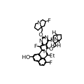 C=C(CC)c1c(F)ccc2cc(O)cc(-c3nc4c5c(nc(OCC67CCCN6C[C@@H](F)C7)nc5c3F)N3C[C@@H]5CC[C@@H](N5)[C@@H]3CO4)c12